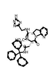 O=C(O)N[C@@H](CC(=O)NC(c1ccccc1)(c1ccccc1)c1ccccc1)C(=O)N1c2ncccc2C[C@H]1C(=O)NCc1nn[nH]n1